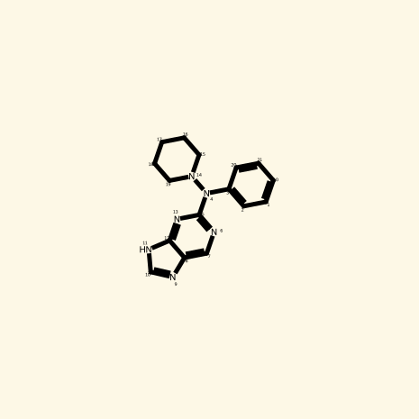 c1ccc(N(c2ncc3nc[nH]c3n2)N2CCCCC2)cc1